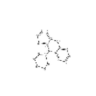 c1ccc2c(c1)Oc1ccccc1N2C1CCCCC1